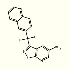 Bc1cnc2onc(C(F)(F)c3ccc4ncccc4c3)c2c1